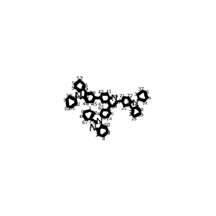 c1ccc(-c2nc3ccccc3n2-c2ccc(-c3cc(-c4ccc5c(c4)c4ccccc4n5-c4ccccc4)nc4ccc(-c5ccc6c(c5)c5ccccc5n6-c5ccccc5)cc34)cc2)cc1